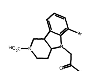 NC(=O)CN1c2c(Br)cccc2C2CN(C(=O)O)CCC21